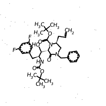 C=CC[C@H]1CN(Cc2ccccc2)C(=O)[C@H](C(O)[C@H](Cc2cc(F)cc(F)c2)NC(=O)OC(C)(C)C)N1C(=O)OC(C)(C)C